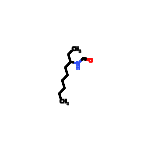 CCCCCCC(CC)NC=O